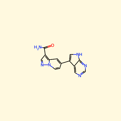 NC(=O)c1cnn2ccc(-c3c[nH]c4ncncc34)cc12